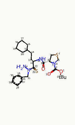 CC(C)(C)OC(=O)N1CSC[C@H]1C(=O)N[C@H](CCC1CCCCC1)C(=S)N(N)Cc1ccccc1